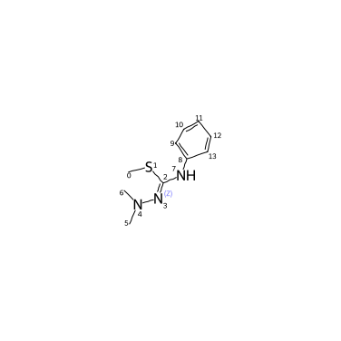 CS/C(=N\N(C)C)Nc1ccccc1